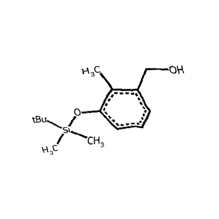 Cc1c(CO)cccc1O[Si](C)(C)C(C)(C)C